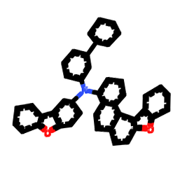 c1ccc(-c2cccc(N(c3ccc4oc5ccccc5c4c3)c3cccc4c3ccc3ccc5oc6ccccc6c5c34)c2)cc1